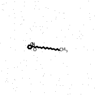 CCCCCCCCCCCCCCCC(=O)C1=NOC2CCCCC12